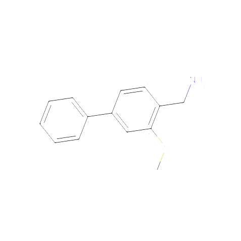 CSc1cc(-c2ccccc2)ccc1CN